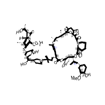 CO[C@@H]1C[C@H](/C=C(\C)[C@H]2OC(=O)[C@@H]3CCCCN3C(=O)C(=O)[C@]3(O)O[C@H]([C@@H](C)C[C@@H](C)C/C(C)=C/[C@@H](CCC(C)(C)N4CC[C@@H]([C@@H](O)[C@@H]5C[C@H](SC6=C(C(=O)O)N7C(=O)[C@H]([C@@H](C)O)[C@H]7[C@H]6C)CN5)C4)C(=O)C[C@H](O)[C@H]2C)[C@@H](C)C[C@H]3C)CC[C@H]1O